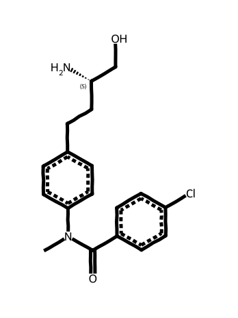 CN(C(=O)c1ccc(Cl)cc1)c1ccc(CC[C@H](N)CO)cc1